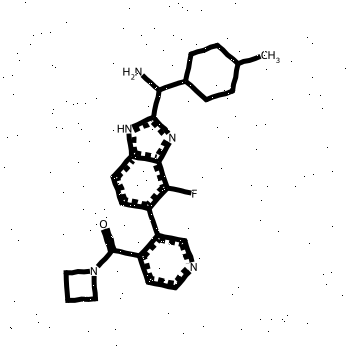 CC1CCC(C(N)c2nc3c(F)c(-c4cnccc4C(=O)N4CCC4)ccc3[nH]2)CC1